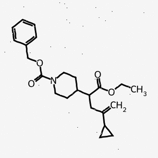 C=C(CC(C(=O)OCC)C1CCN(C(=O)OCc2ccccc2)CC1)C1CC1